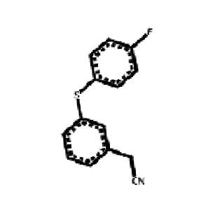 N#CCc1cccc(Sc2ccc(F)cc2)c1